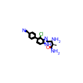 C[C@@H](C(N)=O)[C@H](N)c1nc2c(Cl)c(-c3ccc(C#N)cc3)ccc2[nH]1